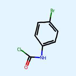 O=C(Cl)Nc1ccc(Br)cc1